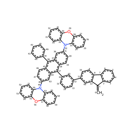 C=C1c2ccccc2-c2ccc(-c3cccc(-c4c5ccc(N6c7ccccc7Oc7ccccc76)cc5c(-c5ccccc5)c5ccc(N6c7ccccc7Oc7ccccc76)cc45)c3)cc21